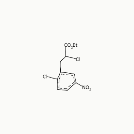 CCOC(=O)C(Cl)Cc1cc([N+](=O)[O-])ccc1Cl